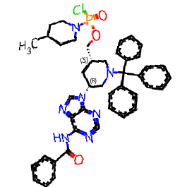 CC1CCN(P(=O)(Cl)OC[C@H]2C[C@@H](n3cnc4c(NC(=O)c5ccccc5)ncnc43)CN(C(c3ccccc3)(c3ccccc3)c3ccccc3)C2)CC1